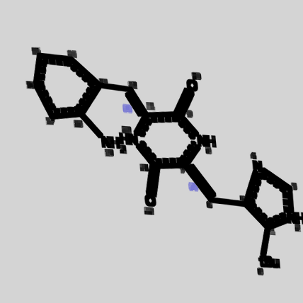 CC(C)(C)c1[nH]cnc1/C=c1\[nH]c(=O)/c(=C/c2ccccc2N)[nH]c1=O